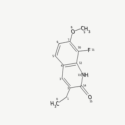 CCc1cc2ccc(OC)c(F)c2[nH]c1=O